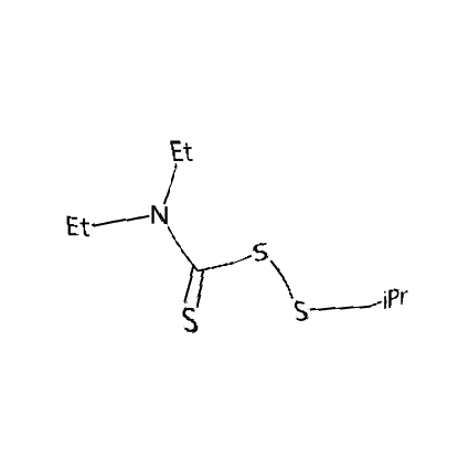 CCN(CC)C(=S)SSC(C)C